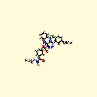 COc1ccc(Cl)c(Nc2nc3ccccc3nc2NS(=O)(=O)c2cccc(C(=O)N(C)CCC#N)c2)c1